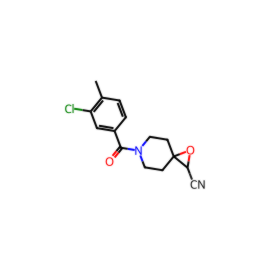 Cc1ccc(C(=O)N2CCC3(CC2)OC3C#N)cc1Cl